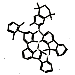 Cc1cc2c(cc1N1c3cc(-c4c(C)cccc4C)cc4c3B(c3c1ccc1c3C(C)(C)c3ccccc3-1)n1c3sc5ccccc5c3c3cccc-4c31)C(C)(C)CCC2(C)C